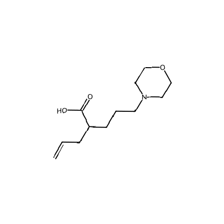 C=CCC(CCCN1CCOCC1)C(=O)O